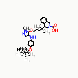 Cn1ncc(Nc2ccc(O[Si](C)(C)C(C)(C)C)cc2)c1OCCCC(C)(C)C1CN(C(=O)O)Cc2ccccc21